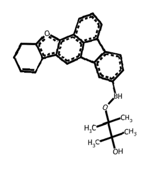 CC(C)(O)C(C)(C)OBc1ccc2c(c1)-c1cc3c4c(oc3c3cccc-2c13)CCC=C4